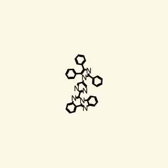 c1ccc(-c2nc(-c3ccccc3)n(-c3cnc(-c4nc5ccccc5c5nc6ccccc6n45)nc3)c2-c2ccccc2)cc1